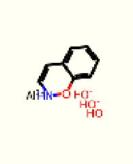 C1=Cc2ccccc2ON1.[Al+3].[OH-].[OH-].[OH-]